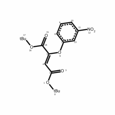 CC(C)(C)OC(=O)/C=C(\Oc1cccc([N+](=O)[O-])c1)C(=O)OC(C)(C)C